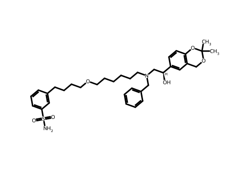 CC1(C)OCc2cc([C@@H](O)CN(CCCCCCOCCCCc3cccc(S(N)(=O)=O)c3)Cc3ccccc3)ccc2O1